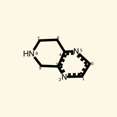 [c]1cnc2c(n1)CCNC2